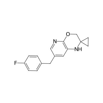 Fc1ccc(Cc2cnc3c(c2)NC2(CC2)CO3)cc1